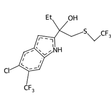 CCC(O)(CSCC(F)(F)F)c1cc2cc(Cl)c(C(F)(F)F)cc2[nH]1